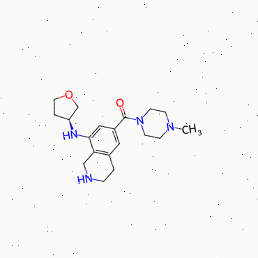 CN1CCN(C(=O)c2cc3c(c(N[C@H]4CCOC4)c2)CNCC3)CC1